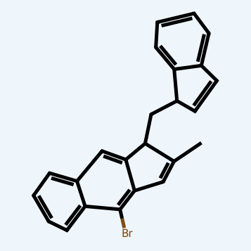 CC1=Cc2c(cc3ccccc3c2Br)C1CC1C=Cc2ccccc21